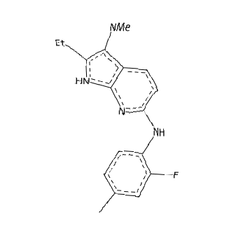 CCc1[nH]c2nc(Nc3ccc(C)cc3F)ccc2c1NC